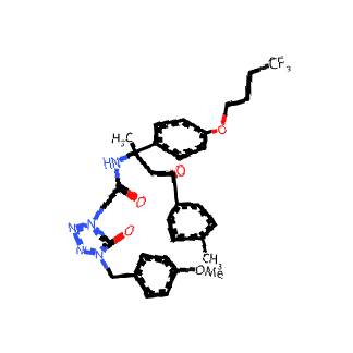 COc1ccc(Cn2nnn(CC(=O)NC(C)(CC(=O)c3ccc(C)cc3)c3ccc(OCCCC(F)(F)F)cc3)c2=O)cc1